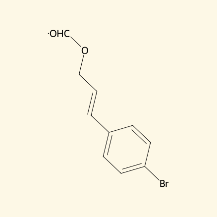 O=[C]OCC=Cc1ccc(Br)cc1